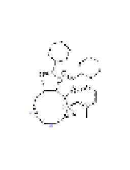 Cc1ccccc1[C@@]12C=C1/C=C\C=C/CC(C)C(OC(=O)C1CCCCC1)C2OC(=O)C1CCCCC1